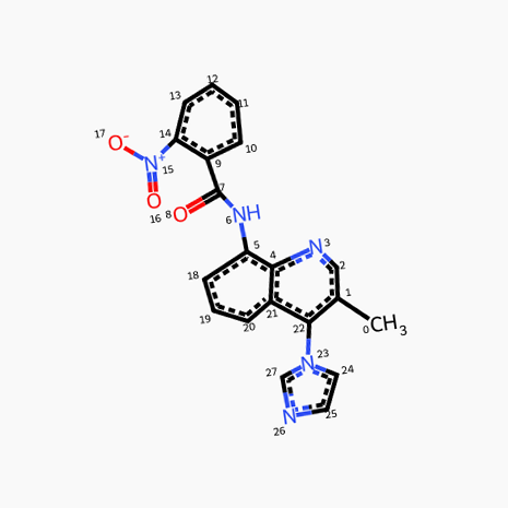 Cc1cnc2c(NC(=O)c3ccccc3[N+](=O)[O-])cccc2c1-n1ccnc1